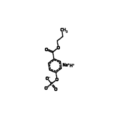 CCCOC(=O)c1ccc(OP(=O)([O-])[O-])cc1.[H+].[Na+]